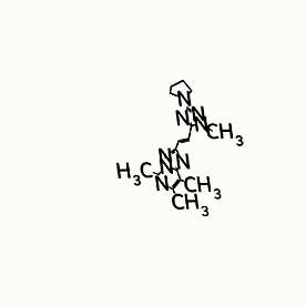 Cc1nc(C)n2nc(C=Cc3nc(N4CCCC4)nn3C)nc2c1C